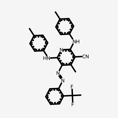 Cc1ccc(Nc2nc(Nc3ccc(C)cc3)c(/N=N/c3ccccc3C(C)(F)F)c(C)c2C#N)cc1